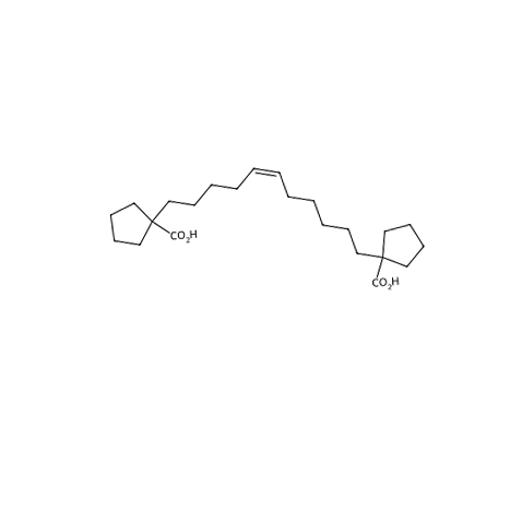 O=C(O)C1(CCCC/C=C\CCCCCC2(C(=O)O)CCCC2)CCCC1